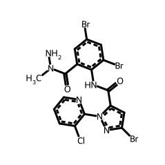 CN(N)C(=O)c1cc(Br)cc(Br)c1NC(=O)c1cc(Br)nn1-c1ncccc1Cl